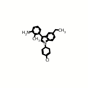 CCc1ccc2c(c1)c(-c1cccc(N)c1C)cn2C1C=CC(Cl)=CC1